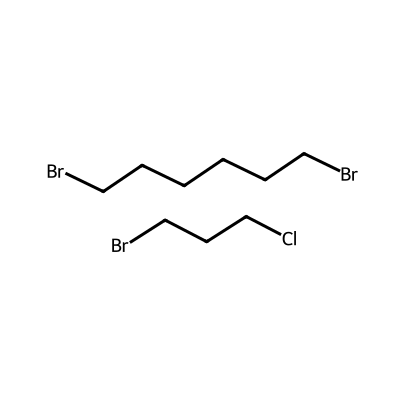 BrCCCCCCBr.ClCCCBr